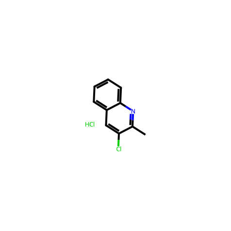 Cc1nc2ccccc2cc1Cl.Cl